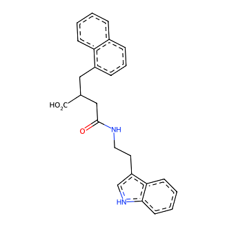 O=C(CC(Cc1cccc2ccccc12)C(=O)O)NCCc1c[nH]c2ccccc12